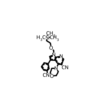 C[Si](C)(C)CCOCn1cc(-c2cccc(C#N)c2)c2c(N3CCOCC3)c(C#N)cnc21